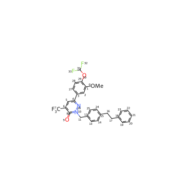 COc1cc(-c2cc(C(F)(F)F)c(=O)n(Cc3ccc(CCc4ccccc4)cc3)n2)ccc1OC(F)F